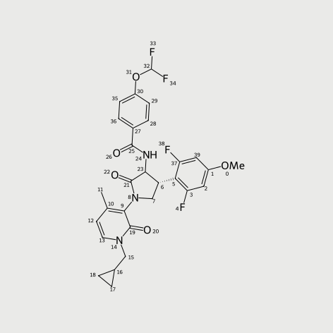 COc1cc(F)c([C@@H]2CN(c3c(C)ccn(CC4CC4)c3=O)C(=O)C2NC(=O)c2ccc(OC(F)F)cc2)c(F)c1